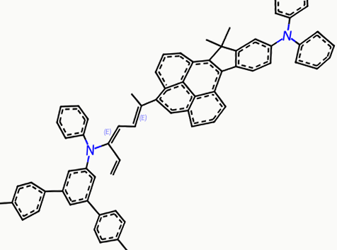 C=C/C(=C\C=C(/C)c1cc2cccc3c4c(c5cccc1c5c23)C(C)(C)c1cc(N(c2ccccc2)c2ccccc2)ccc1-4)N(c1ccccc1)c1cc(-c2ccc(C)cc2)cc(-c2ccc(C)cc2)c1